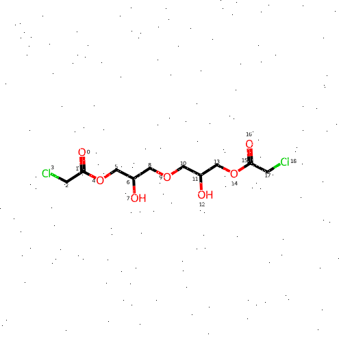 O=C(CCl)OCC(O)COCC(O)COC(=O)CCl